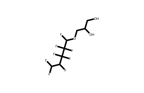 OCC(O)COC(F)C(F)(F)C(F)(F)C(F)C(F)F